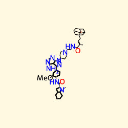 COc1cc(-c2nn(C3CCN(CCNC(=O)/C(C)=C/CC45CC6CC(CC(C6)C4)C5)CC3)c3ncnc(N)c23)ccc1NC(=O)c1cc2ccccc2n1C